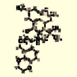 CCCC(N(NC(=O)c1ccc2c(c1CC)OCCO2)C(=O)c1cc(C)cc(C)c1)C(C)(C)C